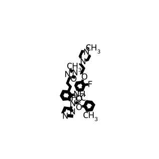 Cc1noc(CCc2cccc(N(C(=O)Oc3c(C)cccc3C)c3ccncn3)c2Nc2ccc(OCCCN3CCN(C)CC3)c(F)c2)n1